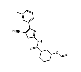 N#Cc1sc(NC(=O)C2CCCC(OC=O)C2)nc1-c1cccc(F)c1